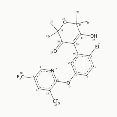 CCc1ccc(Oc2ncc(C(F)(F)F)cc2C(F)(F)F)cc1C1=C(O)C(C)(C)OC(C)(C)C1=O